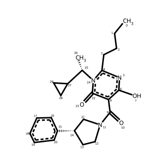 CCCCc1nc(O)c(C(=O)N2CC[C@H](c3ccccc3)C2)c(=O)n1[C@@H](C)C1CC1